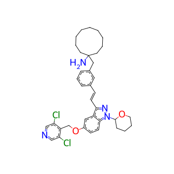 NC1(Cc2cccc(/C=C/c3nn(C4CCCCO4)c4ccc(OCc5c(Cl)cncc5Cl)cc34)c2)CCCCCCCCC1